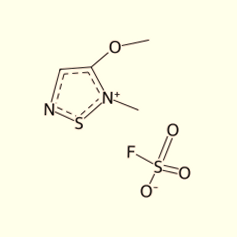 COc1cns[n+]1C.O=S(=O)([O-])F